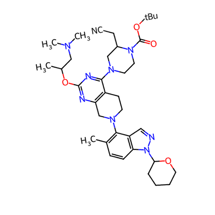 Cc1ccc2c(cnn2C2CCCCO2)c1N1CCc2c(nc(OC(C)CN(C)C)nc2N2CCN(C(=O)OC(C)(C)C)C(CC#N)C2)C1